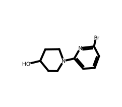 OC1CCN(c2cccc(Br)n2)CC1